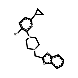 N#Cc1ccc(C2CC2)nc1N1CCN(Cc2nc3ccccc3s2)CC1